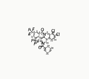 CN(C(=O)c1cc(C(F)(F)F)cc(C(F)(F)F)c1)[C@@H]1CCN(C(=O)C2CCCCC2)C[C@H]1c1ccc(Cl)c(Cl)c1